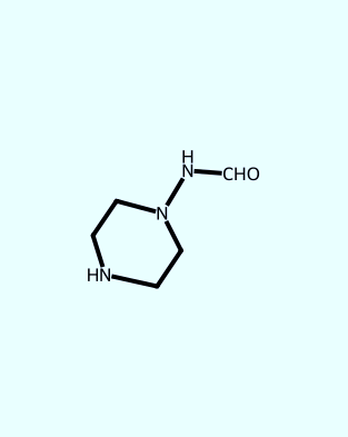 O=CNN1CCNCC1